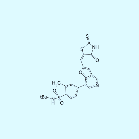 Cc1cc(-c2cncc3cc(C=C4SC(=S)NC4=O)oc23)ccc1S(=O)(=O)NC(C)(C)C